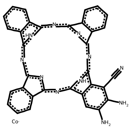 N#Cc1c(N)c(N)cc2c3nc4nc(nc5[nH]c(nc6nc(nc([nH]3)c12)-c1ccccc1-6)c1ccccc51)-c1ccccc1-4.[Co]